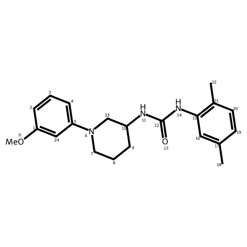 COc1cccc(N2CCCC(NC(=O)Nc3cc(C)ccc3C)C2)c1